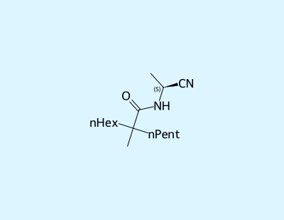 CCCCCCC(C)(CCCCC)C(=O)N[C@@H](C)C#N